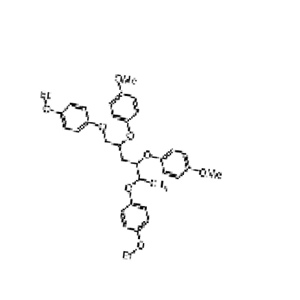 CCOc1ccc(OCC(CC(Oc2ccc(OC)cc2)C(C)Oc2ccc(OCC)cc2)Oc2ccc(OC)cc2)cc1